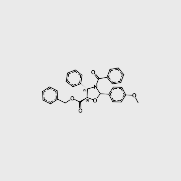 COc1ccc(C2O[C@@H](C(=O)OCc3ccccc3)[C@H](c3ccccc3)N2C(=O)c2ccccc2)cc1